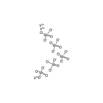 [O]=[Sb]([O-])([O-])[O-].[O]=[Sb]([O-])([O-])[O-].[O]=[Sb]([O-])([O-])[O-].[O]=[Sb]([O-])([O-])[O-].[O]=[Sb]([O-])([O-])[O-].[V+5].[V+5].[V+5]